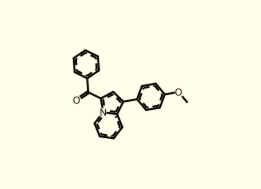 COc1ccc(-c2cc(C(=O)c3ccccc3)n3ccccc23)cc1